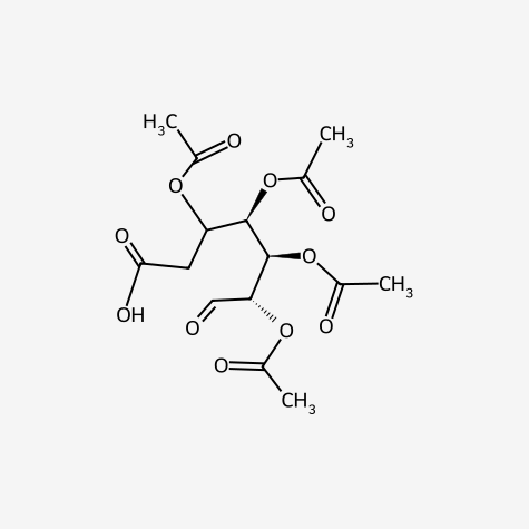 CC(=O)OC(CC(=O)O)[C@@H](OC(C)=O)[C@@H](OC(C)=O)[C@@H](C=O)OC(C)=O